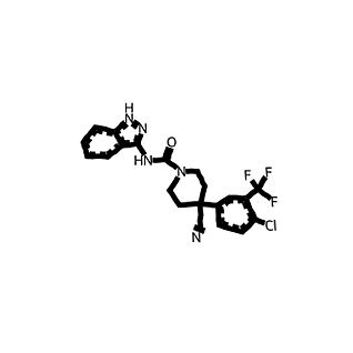 N#CC1(c2ccc(Cl)c(C(F)(F)F)c2)CCN(C(=O)Nc2n[nH]c3ccccc23)CC1